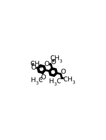 COC(=O)c1cc(C(=O)C(C)C)ccc1-c1ccc(OC)cc1OC